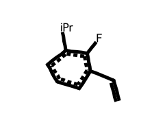 C=Cc1cccc(C(C)C)c1F